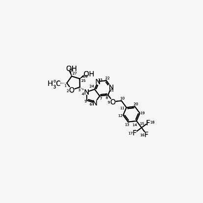 C[C@H]1O[C@@H](n2cnc3c(OCc4ccc(C(F)(F)F)cc4)ncnc32)[C@H](O)[C@@H]1O